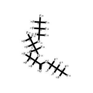 O=C(OC(F)(F)C(F)(F)C(F)(F)F)C(F)(OC(F)(F)C(F)(OC(F)(F)C(F)(F)C(F)(F)F)C(F)(F)F)C(F)(F)F